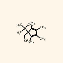 CCC1([Si](C)(C)C)C(C)=C(C)C(C)=C1C